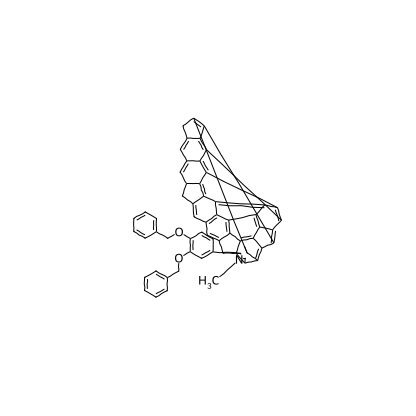 CN1CC2C3=c4c5c6c7c(cc8cc9c%10c%11c%12c%13c(cc%14c%15c(c4c4c5c5c7c8c%10c5c%12c4c%15%13)=C(C3)C%14)=CC%11C9)CC62C1c1ccc(OCc2ccccc2)c(OCc2ccccc2)c1